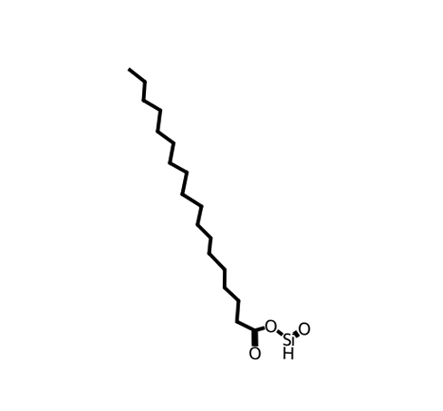 CCCCCCCCCCCCCCCCCC(=O)O[SiH]=O